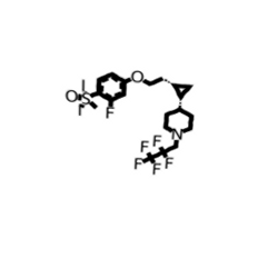 CS(=O)(I)(I)c1ccc(OCC[C@@H]2C[C@@H]2C2CCN(CC(F)(F)C(F)(F)F)CC2)cc1F